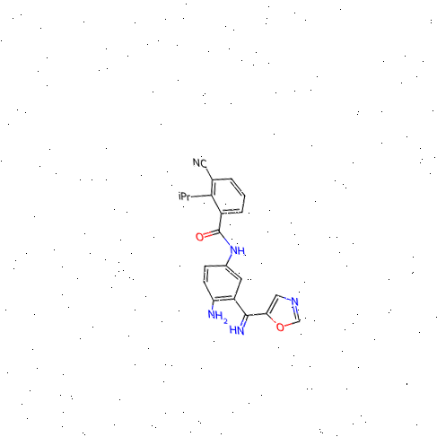 CC(C)c1c(C#N)cccc1C(=O)Nc1ccc(N)c(C(=N)c2cnco2)c1